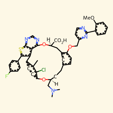 COc1ccccc1-c1nccc(COc2ccc3cc2C[C@H](C(=O)O)Oc2ncnc4sc(-c5ccc(F)cc5)c(c24)-c2ccc(c(Cl)c2C)O[C@H](CN(C)C)CC3)n1